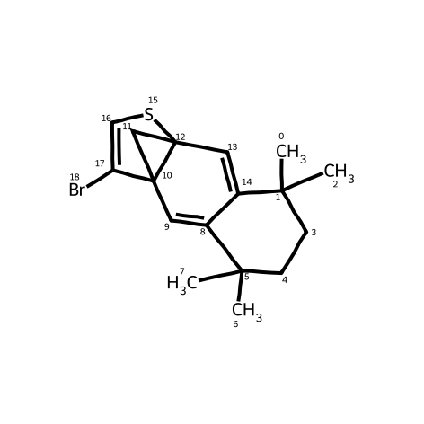 CC1(C)CCC(C)(C)C2=CC34CC3(C=C21)SC=C4Br